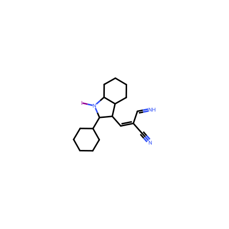 N#C/C(C=N)=C/C1C2CCCCC2N(I)C1C1CCCCC1